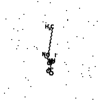 CCCCCCCCCCCCCCCCOCC(CC#N)CNS(=O)(=O)CCC[n+]1cccc2ccccc21.[I-]